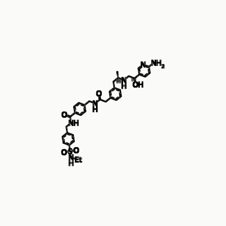 CCNS(=O)(=O)c1ccc(CNC(=O)c2ccc(CNC(=O)Cc3cccc(C[C@@H](C)NC[C@H](O)c4ccc(N)nc4)c3)cc2)cc1